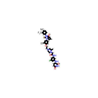 CCc1cc(N2C(=S)N(c3ccc(C#N)c(C(F)(F)F)c3)C(=O)C23CCC3)ccc1OCCN1CCN(CC(=O)Nc2cc(F)cc(NC3CCC(=O)NC3=O)c2)C(C)C1